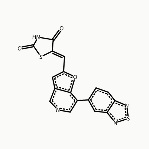 O=C1NC(=O)/C(=C/c2cc3cncc(-c4ccc5nsnc5c4)c3o2)S1